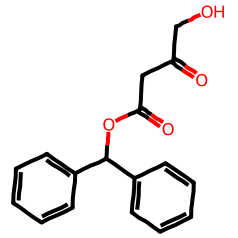 O=C(CO)CC(=O)OC(c1ccccc1)c1ccccc1